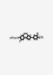 CCCCCc1cc2c(cc1F)-c1ccc(-c3ccc(C#N)c(F)c3)cc1CC2